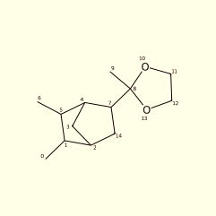 CC1C2CC(C1C)C(C1(C)OCCO1)C2